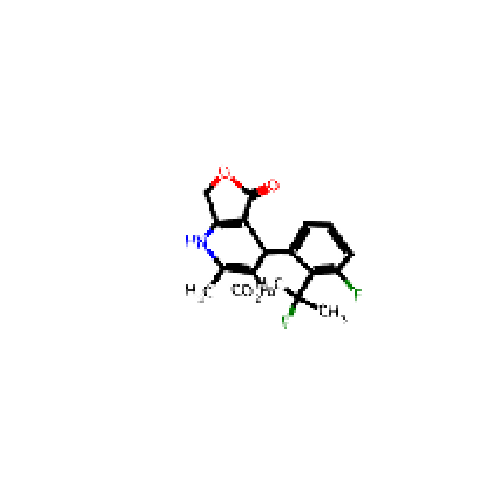 CC1=C(C(=O)O)C(c2cccc(F)c2C(C)(C)F)C2=C(COC2=O)N1